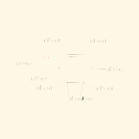 CCCCCOC1(CCCCC)C(CCCCC)=C(CCCCC)C(CCCCC)C(CCCCC)(CCCCC)C1(CCCCC)CCCCC